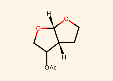 CC(=O)OC1CO[C@@H]2OCC[C@H]12